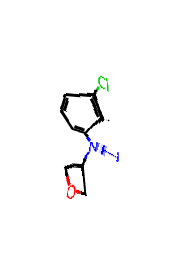 Clc1[c]c(NC2COC2)ccc1